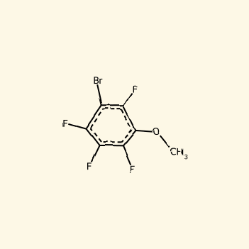 COc1c(F)c(F)c(F)c(Br)c1F